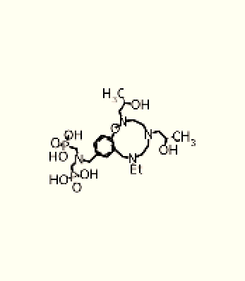 CCN1CCN(C[C@H](C)O)CCN(C[C@H](C)O)Oc2ccc(CN(CP(=O)(O)O)CP(=O)(O)O)cc2C1